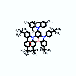 Cc1ccc(N(c2cc3c4c(c2)N(c2ccc(C(C)(C)C)cc2-c2ccc(C(C)(C)C)cc2)c2ccc(C(C)(C)C)cc2B4c2cc(C(C)(C)C)ccc2N3c2ccc(C(C)(C)C)cc2)c2ccc(C)cc2C)c(C)c1